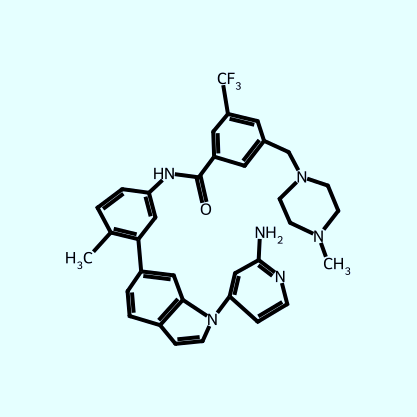 Cc1ccc(NC(=O)c2cc(CN3CCN(C)CC3)cc(C(F)(F)F)c2)cc1-c1ccc2ccn(-c3ccnc(N)c3)c2c1